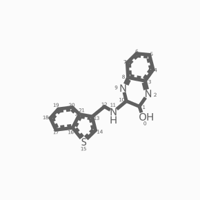 OC1N=c2ccccc2=NC1NCc1csc2ccccc12